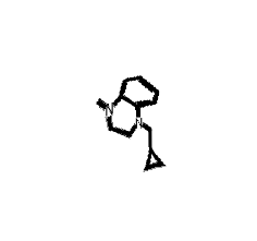 CN1CCN(CC2CC2)c2ccccc21